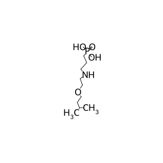 CC(C)CCOCCNCCCP(=O)(O)O